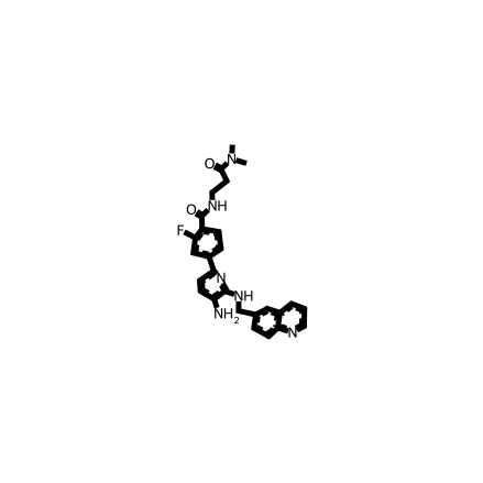 CN(C)C(=O)CCNC(=O)c1ccc(-c2ccc(N)c(NCc3ccc4ncccc4c3)n2)cc1F